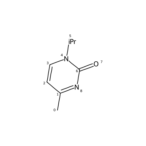 Cc1ccn(C(C)C)c(=O)n1